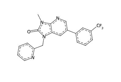 Cn1c(=O)n(Cc2ccccn2)c2cc(-c3cccc(C(F)(F)F)c3)cnc21